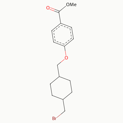 COC(=O)c1ccc(OCC2CCC(CBr)CC2)cc1